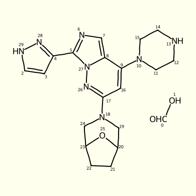 O=CO.c1cc(-c2ncc3c(N4CCNCC4)cc(N4CC5CCC(C4)O5)nn23)n[nH]1